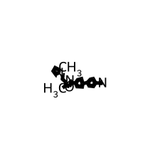 Cc1oc(-c2ccc(-c3ccc(C#N)cc3)cc2)nc1CCN1CCC[C@H]1C